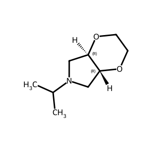 CC(C)N1C[C@H]2OCCO[C@@H]2C1